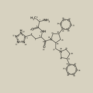 CC(N)C(=O)NC(CCc1nnn[nH]1)C(=O)N1CC(c2ccccc2)CC1CN1CCC(c2ccccc2)C1